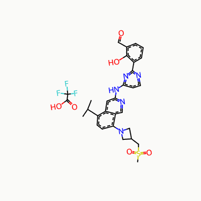 CC(C)c1ccc(N2CC(CS(C)(=O)=O)C2)c2cnc(Nc3ccnc(-c4cccc(C=O)c4O)n3)cc12.O=C(O)C(F)(F)F